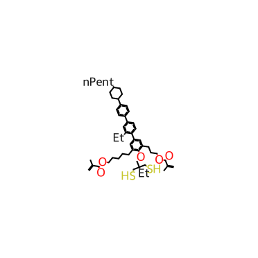 C=C(C)C(=O)OCCCCCc1cc(-c2ccc(-c3ccc(C4CCC(CCCCC)CC4)cc3)cc2CC)cc(CCCOC(=O)C(=C)C)c1OCC(CC)(CS)CS